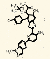 CC(=O)[C@@H](OC(C)(C)C)c1c(C)cc2nc(-c3nc(-c4ccc5c(cnn5C)c4)ccc3N)sc2c1-c1ccc(Cl)cc1